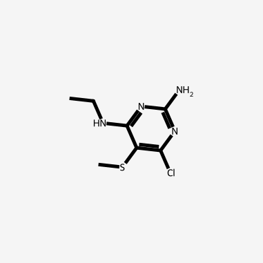 CCNc1nc(N)nc(Cl)c1SC